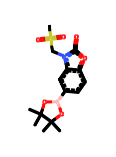 CC1(C)OB(c2ccc3oc(=O)n(CS(C)(=O)=O)c3c2)OC1(C)C